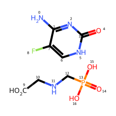 Nc1nc(=O)[nH]cc1F.O=C(O)CNCP(=O)(O)O